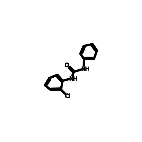 O=C(Nc1ccccc1)Nc1ccccc1Cl